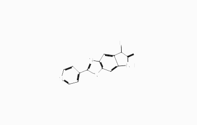 CCC1C(=S)Nc2cc3[nH]c(-c4ccncc4)nc3cc21